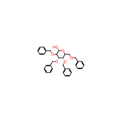 O[C@H]1OC(COCc2ccccc2)[C@H](OCc2ccccc2)[C@H](OCc2ccccc2)C1OCc1ccccc1